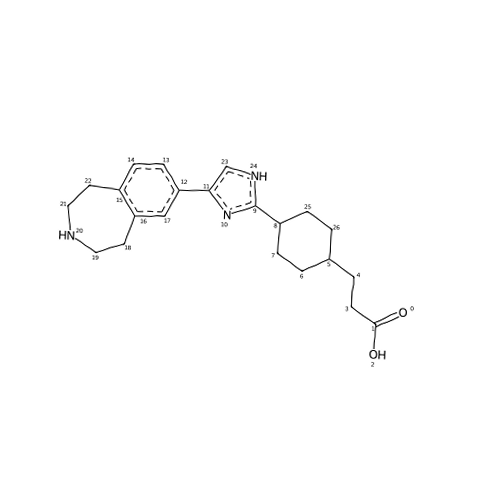 O=C(O)CCC1CCC(c2nc(-c3ccc4c(c3)CCNCC4)c[nH]2)CC1